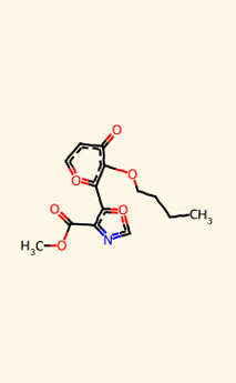 CCCCOc1c(-c2ocnc2C(=O)OC)occc1=O